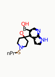 CCCSN1CCC2(CC1)OB(O)c1cnc3[nH]ccc3c12